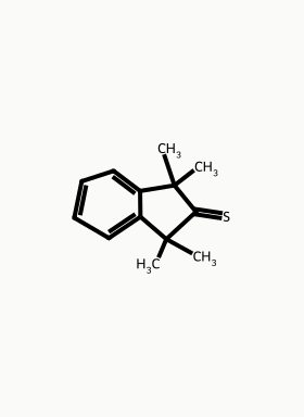 CC1(C)C(=S)C(C)(C)c2ccccc21